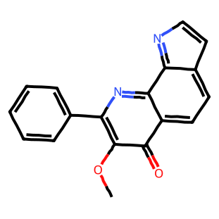 COC1=C(c2ccccc2)N=c2c(ccc3c2=NC=C3)C1=O